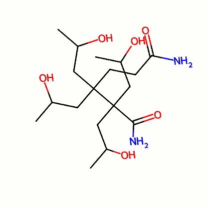 CC(O)CC(CCC(N)=O)(CC(C)O)C(CC(C)O)(CC(C)O)C(N)=O